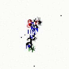 Cc1nc([C@H](C)Nc2nccc(N3C(=O)OC[C@@H]3[C@@H](C)OC(C)(C)C)n2)ccc1-c1ccnc(C(F)(F)F)c1